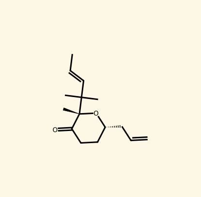 C=CC[C@@H]1CCC(=O)[C@](C)(C(C)(C)/C=C/C)O1